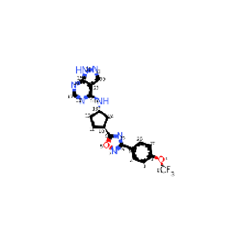 FC(F)(F)Oc1ccc(-c2noc([C@H]3CC[C@H](Nc4ncnc5[nH]ncc45)C3)n2)cc1